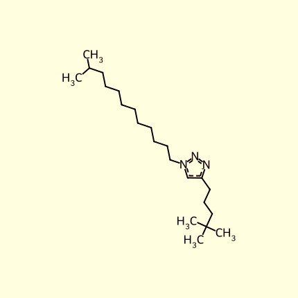 CC(C)CCCCCCCCCCn1cc(CCCC(C)(C)C)nn1